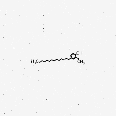 CCCCCCCCCCCCCCc1ccc(O)c(CC)c1